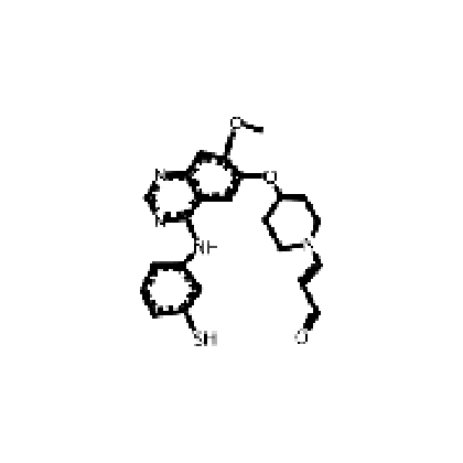 COc1cc2ncnc(Nc3cccc(S)c3)c2cc1OC1CCN(C=CC=O)CC1